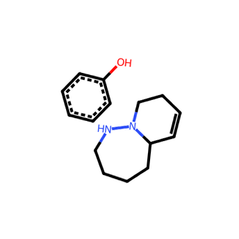 C1=CC2CCCCNN2CC1.Oc1ccccc1